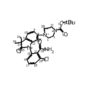 CC(C)(C)OC(=O)N1CCN(c2ccc3c(c2)N(c2cccc(Cl)c2C(N)=O)C(=O)C3(C)C)CC1